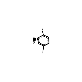 C#N.Fc1ccc(I)cc1